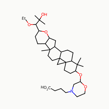 CCOC(C1CCC2C(CC3C4CCC5C(C)(C)C(OC6CN(CCCC(=O)O)CCO6)CCC56CC46CCC23C)O1)C(C)(C)O